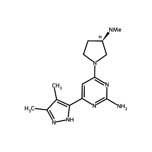 CN[C@@H]1CCN(c2cc(-c3[nH]nc(C)c3C)nc(N)n2)C1